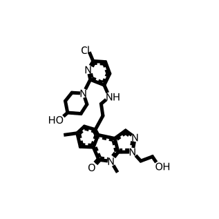 Cc1cc(CCNc2ccc(Cl)nc2N2CCC(O)CC2)c2c(c1)c(=O)n(C)c1c2cnn1CCO